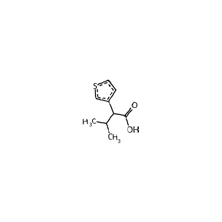 CC(C)C(C(=O)O)c1ccsc1